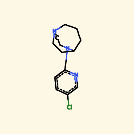 Clc1ccc(N2CCN3CCCC2CC3)nc1